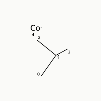 C[C](C)C.[Co]